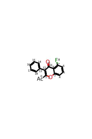 CC(=O)c1oc2cccc(F)c2c(=O)c1-c1ccccc1